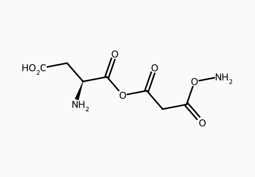 NOC(=O)CC(=O)OC(=O)[C@@H](N)CC(=O)O